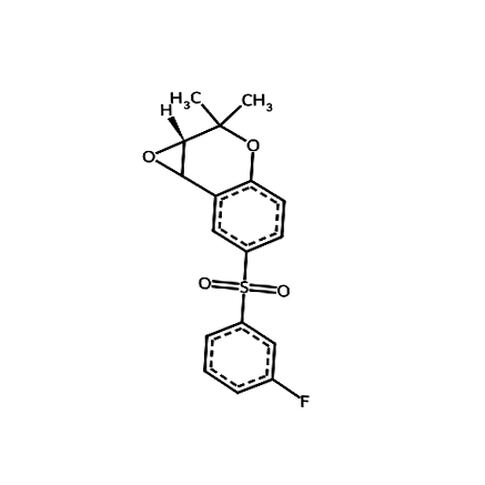 CC1(C)Oc2ccc(S(=O)(=O)c3cccc(F)c3)cc2C2O[C@@H]21